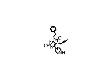 CC#CCn1c(=O)n(CCc2ccccc2)c2nc(Cl)nc(N3CCNCC3)c21